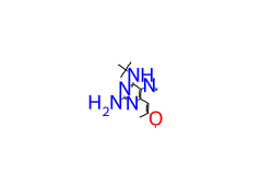 C=Nc1c(/C=C(\C)OC)nc(N)nc1NC(C)(C)C